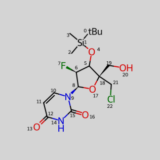 CC(C)(C)[Si](C)(C)OC1[C@H](F)[C@H](n2ccc(=O)[nH]c2=O)O[C@@]1(CO)CCl